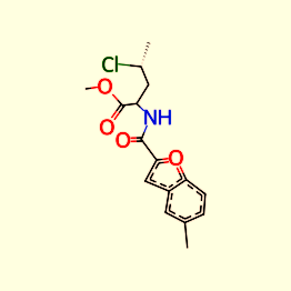 COC(=O)C(C[C@@H](C)Cl)NC(=O)c1cc2cc(C)ccc2o1